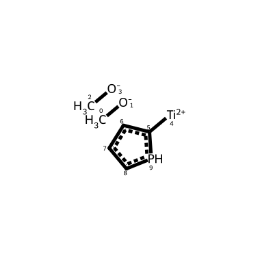 C[O-].C[O-].[Ti+2][c]1ccc[pH]1